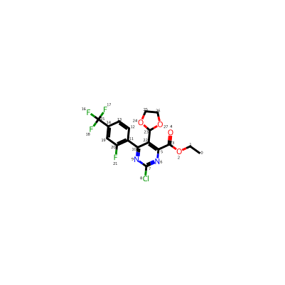 CCOC(=O)c1nc(Cl)nc(-c2ccc(C(F)(F)F)cc2F)c1C1OCCO1